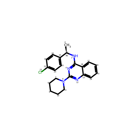 C[C@@H](Nc1nc(N2CCCCC2)nc2ccccc12)c1ccc(Cl)cc1